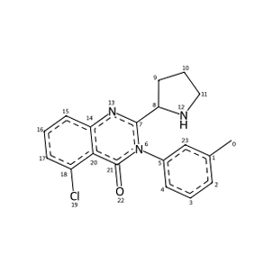 Cc1cccc(-n2c(C3CCCN3)nc3cccc(Cl)c3c2=O)c1